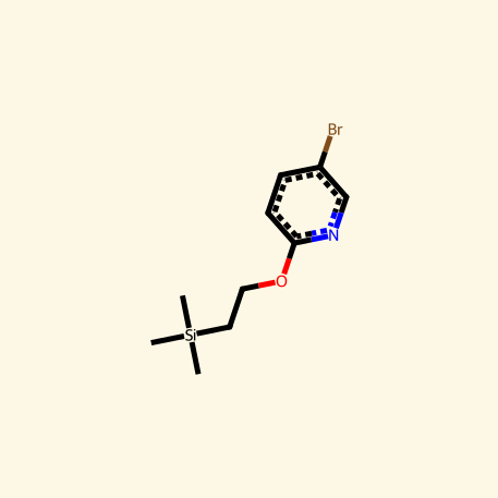 C[Si](C)(C)CCOc1ccc(Br)cn1